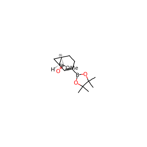 COC(=O)[C@]12CCC(B3OC(C)(C)C(C)(C)O3)=C[C@H]1C2